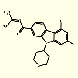 NC(N)=NC(=O)c1ccc2c3c(F)cc(F)cc3n(C3CCOCC3)c2c1